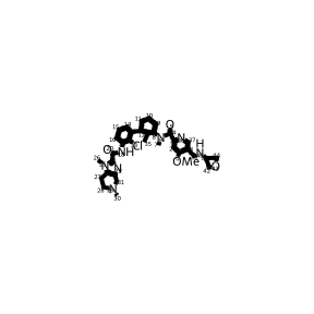 COc1cc(C(=O)N(C)c2cccc(-c3cccc(NC(=O)c4nc5c(n4C)CCN(C)C5)c3Cl)c2C)ncc1CNC1COC1